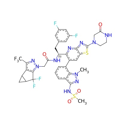 Cn1nc(NS(C)(=O)=O)c2cccc(-c3cc4sc(N5CCNC(=O)C5)nc4nc3[C@H](Cc3cc(F)cc(F)c3)NC(=O)Cn3nc(C(F)(F)F)c4c3C(F)(F)C3CC43)c21